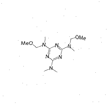 COCN(C)c1nc(N(C)C)nc(N(C)COC)n1